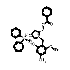 Cc1cc(O)c(CN2C[C@H](O[Si](c3ccccc3)(c3ccccc3)C(C)(C)C)C[C@@H]2COC(=O)c2ccccc2)c(OC(C)C)c1